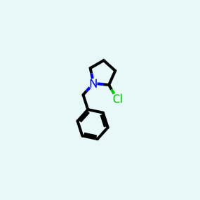 ClC1CCCN1Cc1ccccc1